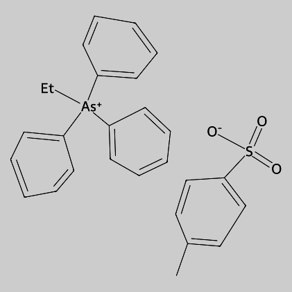 CC[As+](c1ccccc1)(c1ccccc1)c1ccccc1.Cc1ccc(S(=O)(=O)[O-])cc1